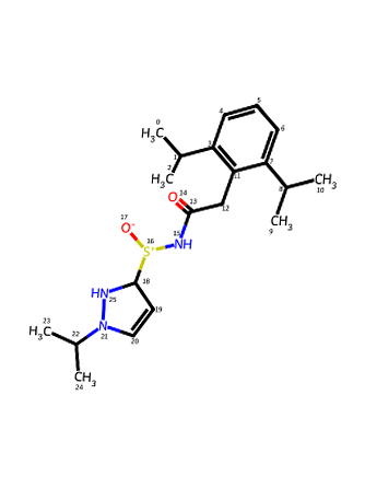 CC(C)c1cccc(C(C)C)c1CC(=O)N[S+]([O-])C1C=CN(C(C)C)N1